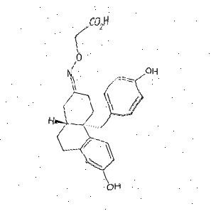 O=C(O)CON=C1CC[C@@]2(Cc3ccc(O)cc3)c3ccc(O)cc3CC[C@@H]2C1